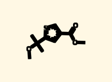 COC(=O)c1csc(C(C)(C)OC)c1